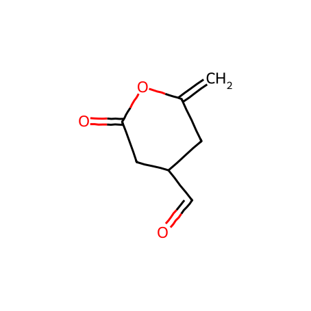 C=C1CC(C=O)CC(=O)O1